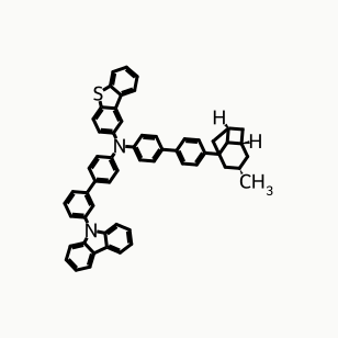 C[C@H]1C[C@H]2C[C@H]3CC(c4ccc(-c5ccc(N(c6ccc(-c7cccc(-n8c9ccccc9c9ccccc98)c7)cc6)c6ccc7sc8ccccc8c7c6)cc5)cc4)(C1)C23